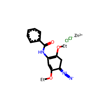 CCOC1=CC(NC(=O)c2ccccc2)=C(OCC)CC1=[N+]=[N-].[Cl-].[Cl-].[Zn+2]